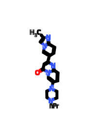 CCCN1CCN(c2ccc3nc(-c4ccc5nc(C)cn5c4)cc(=O)n3c2)CC1